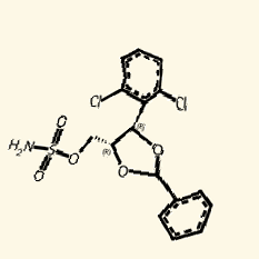 NS(=O)(=O)OC[C@H]1OC(c2ccccc2)O[C@@H]1c1c(Cl)cccc1Cl